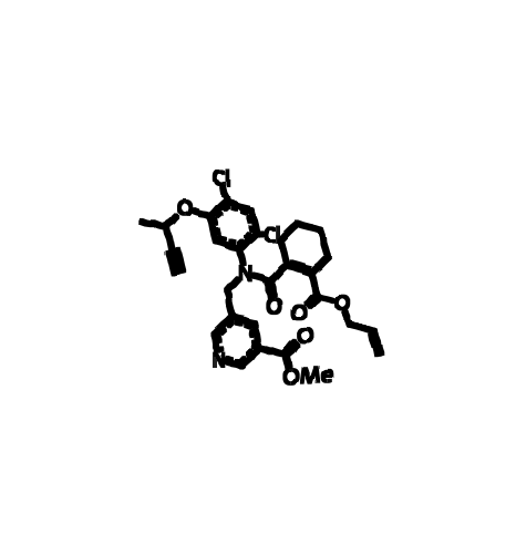 C#CC(C)Oc1cc(N(Cc2cncc(C(=O)OC)c2)C(=O)C2=C(C(=O)OCC=C)CCCC2)c(Cl)cc1Cl